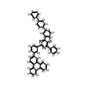 c1ccc(-c2ccc(-c3ccc4sc5c(-c6ccccc6)nc(-c6cccc(-c7ccc8c9ccccc9c9ccccc9c8c7)c6)nc5c4c3)cc2)cc1